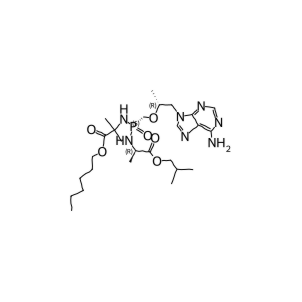 CCCCCCOC(=O)C(C)(C)N[P@](=O)(CO[C@H](C)Cn1cnc2c(N)ncnc21)N[C@H](C)C(=O)OCC(C)C